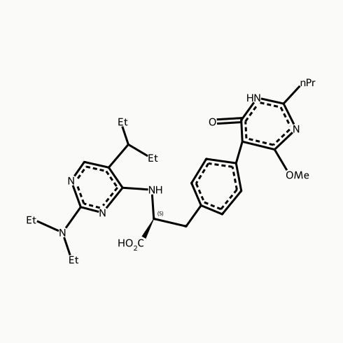 CCCc1nc(OC)c(-c2ccc(C[C@H](Nc3nc(N(CC)CC)ncc3C(CC)CC)C(=O)O)cc2)c(=O)[nH]1